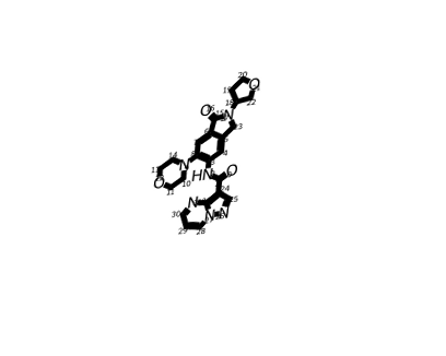 O=C(Nc1cc2c(cc1N1CCOCC1)C(=O)N(C1CCOC1)C2)c1cnn2cccnc12